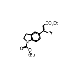 CCOC(=O)C=C(c1ccc2c(c1)CCN2C(=O)OC(C)(C)C)C(C)C